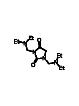 CCN(CC)CN1CC(=O)N(CN(CC)CC)C1=O